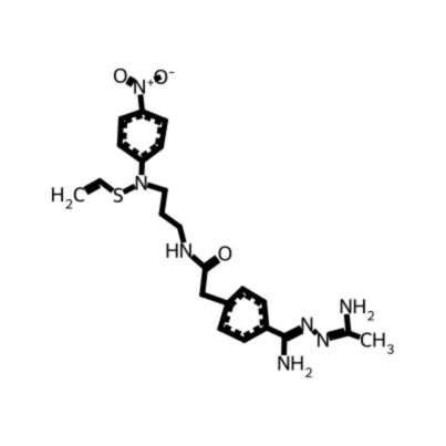 C=CSN(CCCNC(=O)Cc1ccc(/C(N)=N/N=C(/C)N)cc1)c1ccc([N+](=O)[O-])cc1